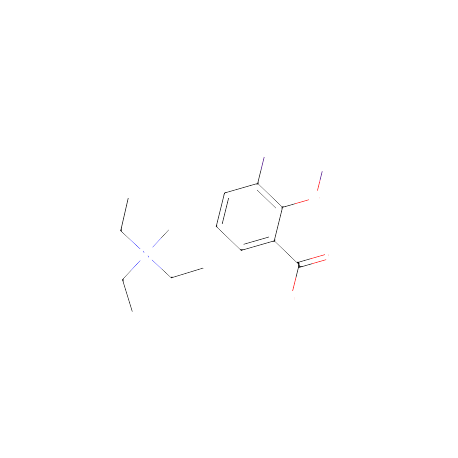 CC[N+](C)(CC)CC.O=C([O-])c1cccc(I)c1OI